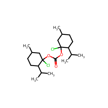 CC1CCC(C(C)C)C(Cl)(OC(=O)OC2(Cl)CC(C)CCC2C(C)C)C1